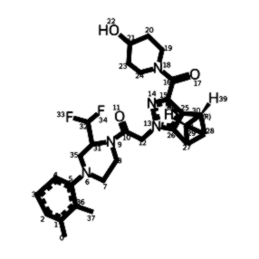 Cc1cccc(N2CCN(C(=O)Cn3nc(C(=O)N4CCC(O)CC4)c4c3C3C5[C@H]3[C@H]45)C(C(F)F)C2)c1C